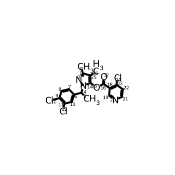 Cc1nn(C(C)c2ccc(Cl)c(Cl)c2)c(OC(=O)c2cnccc2Cl)c1C